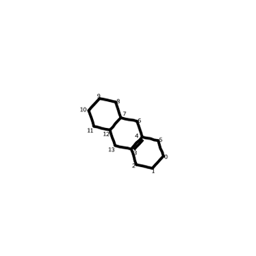 C1CCC2=C(C1)CC1CCCCC1C2